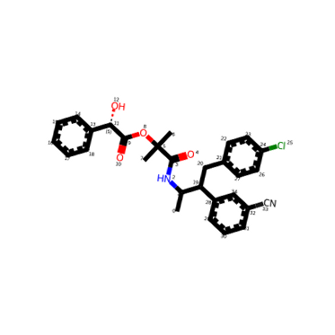 CC(NC(=O)C(C)(C)OC(=O)[C@@H](O)c1ccccc1)C(Cc1ccc(Cl)cc1)c1cccc(C#N)c1